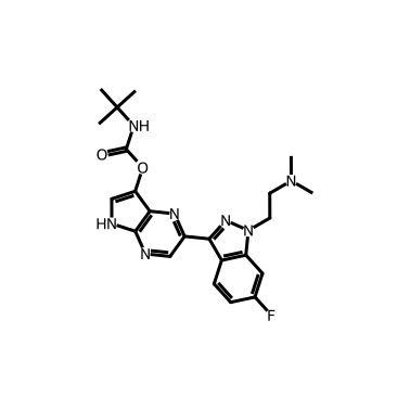 CN(C)CCn1nc(-c2cnc3[nH]cc(OC(=O)NC(C)(C)C)c3n2)c2ccc(F)cc21